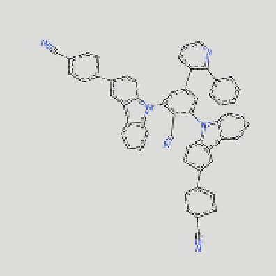 N#Cc1ccc(-c2ccc3c(c2)c2ccccc2n3-c2cc(-c3cccnc3-c3ccccc3)cc(-n3c4ccccc4c4cc(-c5ccc(C#N)cc5)ccc43)c2C#N)cc1